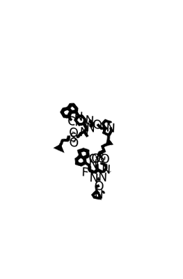 CN(CCS(=O)(=O)/C=C/CC1CC1)c1nc(OCC23CCCN2CC(C2CC2C/C=C/S(=O)(=O)CCN(C)c2nc(OC[C@@H]4CCCN4C)nc4c(F)c(-c5cccc6cccc(Cl)c56)ncc24)C3)nc2c1CCN(c1cccc3cccc(Cl)c13)C2